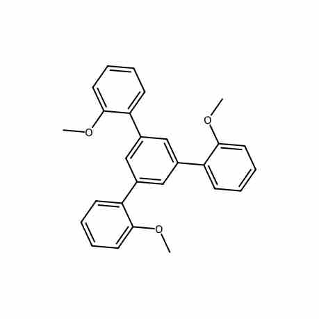 COc1ccccc1-c1cc(-c2ccccc2OC)cc(-c2ccccc2OC)c1